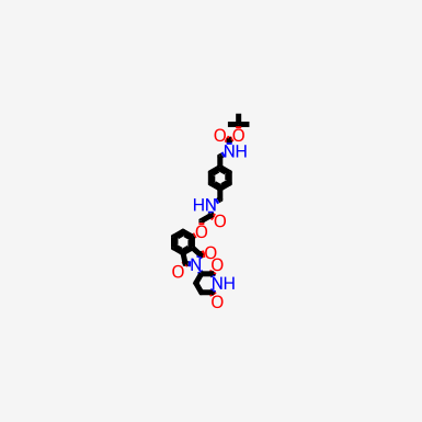 CC(C)(C)OC(=O)NCc1ccc(CNC(=O)COc2cccc3c2C(=O)N(C2CCC(=O)NC2=O)C3=O)cc1